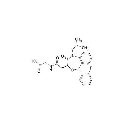 CC(C)CN1C(=O)[C@H](CC(=O)NCC(=O)O)O[C@@H](c2ccccc2F)c2ccccc21